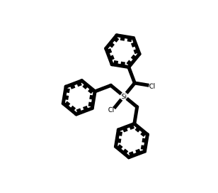 ClC(c1ccccc1)[Si](Cl)(Cc1ccccc1)Cc1ccccc1